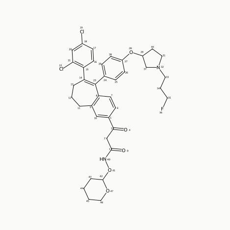 O=C(CC(=O)c1ccc2c(c1)CCCC(c1ccc(Cl)cc1Cl)=C2c1ccc(OC2CCN(CCCF)C2)cc1)NOC1CCCCO1